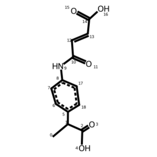 CC(C(=O)O)c1ccc(NC(=O)C=CC(=O)O)cc1